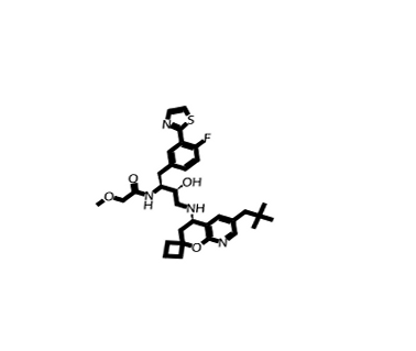 COCC(=O)N[C@@H](Cc1ccc(F)c(-c2nccs2)c1)[C@H](O)CN[C@H]1CC2(CCC2)Oc2ncc(CC(C)(C)C)cc21